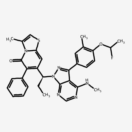 CC[C@@H](c1cc2scc(C)n2c(=O)c1-c1ccccc1)n1nc(-c2ccc(OC(C)F)c(C)c2)c2c(NC)ncnc21